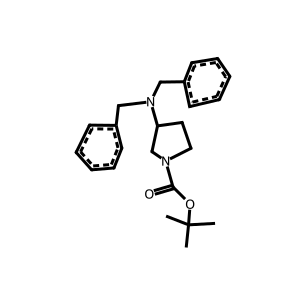 CC(C)(C)OC(=O)N1CCC(N(Cc2ccccc2)Cc2ccccc2)C1